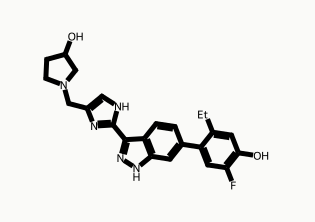 CCc1cc(O)c(F)cc1-c1ccc2c(-c3nc(CN4CCC(O)C4)c[nH]3)n[nH]c2c1